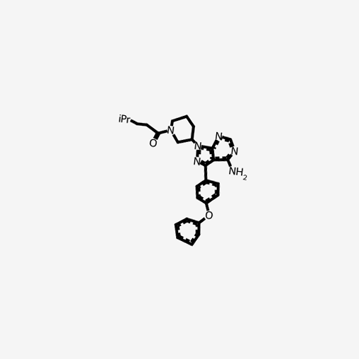 CC(C)CCC(=O)N1CCCC(n2nc(-c3ccc(Oc4ccccc4)cc3)c3c(N)ncnc32)C1